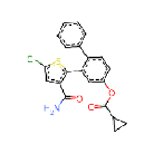 NC(=O)c1cc(Cl)sc1-c1cc(OC(=O)C2CC2)ccc1-c1ccccc1